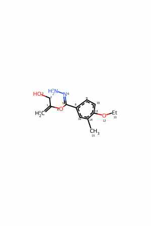 C=C(CO)O/C(=N\N)c1ccc(OCC)c(C)c1